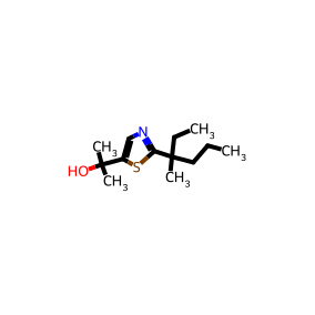 CCCC(C)(CC)c1ncc(C(C)(C)O)s1